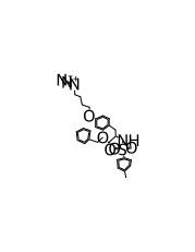 Cc1ccc(S(=O)(=O)NC(Cc2ccc(OCCCCN=[N+]=[N-])cc2)C(=O)OCc2ccccc2)cc1